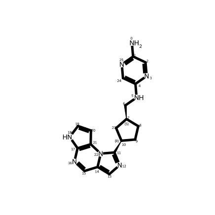 Nc1cnc(NC[C@H]2CC[C@@H](c3ncc4cnc5[nH]ccc5n34)C2)cn1